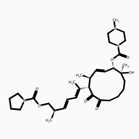 C/C(=C\C=C\[C@@H](C)COC(=O)N1CCCC1)[C@H]1C(=O)C(=O)CCCC[C@](C)(O)[C@@H](OC(=O)N2CCN(C)CC2)/C=C/[C@@H]1C